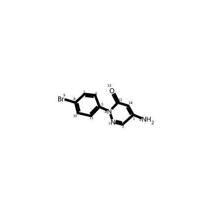 Nc1cnn(-c2ccc(Br)cc2)c(=O)c1